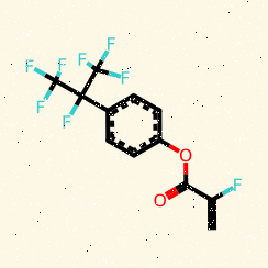 C=C(F)C(=O)Oc1ccc(C(F)(C(F)(F)F)C(F)(F)F)cc1